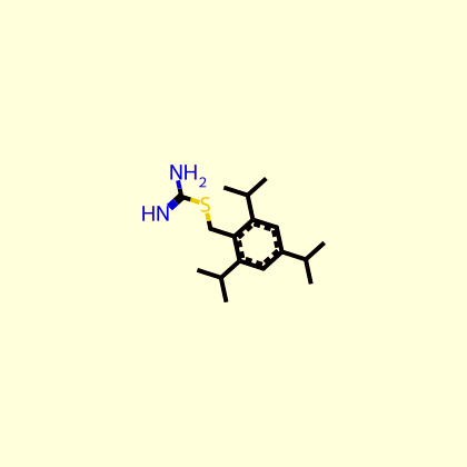 CC(C)c1cc(C(C)C)c(CSC(=N)N)c(C(C)C)c1